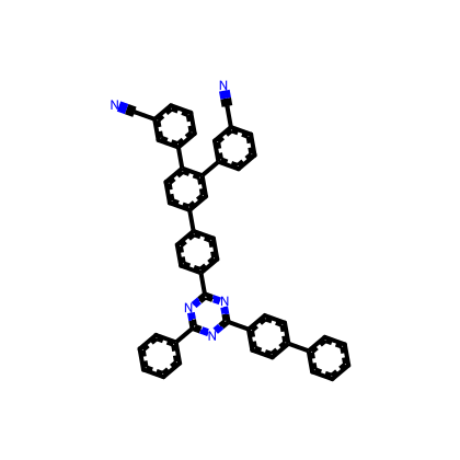 N#Cc1cccc(-c2ccc(-c3ccc(-c4nc(-c5ccccc5)nc(-c5ccc(-c6ccccc6)cc5)n4)cc3)cc2-c2cccc(C#N)c2)c1